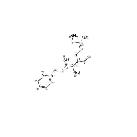 C=C/C(C/C=C(/CC)CN)=C(/C(=N)CCc1ccccn1)C(C)(C)C